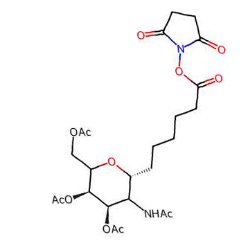 CC(=O)NC1[C@@H](OC(C)=O)[C@@H](OC(C)=O)C(COC(C)=O)O[C@@H]1CCCCCC(=O)ON1C(=O)CCC1=O